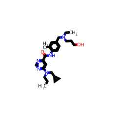 CCCN(CC1CC1)c1cc(C(=O)Nc2ccc(CN(CC)CCCO)cc2C)ncn1